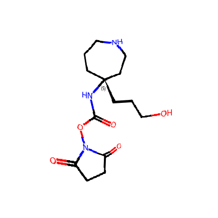 O=C(N[C@]1(CCCO)CCCNCC1)ON1C(=O)CCC1=O